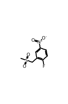 CS(=O)(=O)Cc1cc([N+](=O)[O-])ccc1F